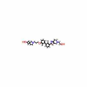 Cc1c(OCCCN2CCC3(CC(O)C3)C2)cccc1-c1cccc(-c2nc3c(s2)CN(CCO)CC3)c1C